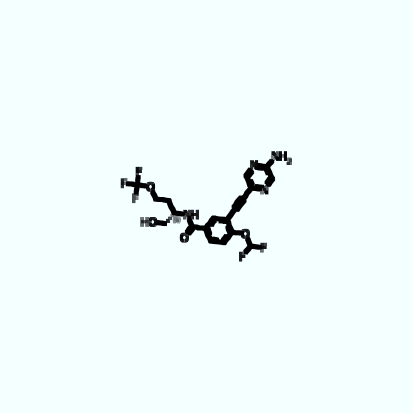 Nc1cnc(C#Cc2cc(C(=O)N[C@H](CO)CCOC(F)(F)F)ccc2OC(F)F)cn1